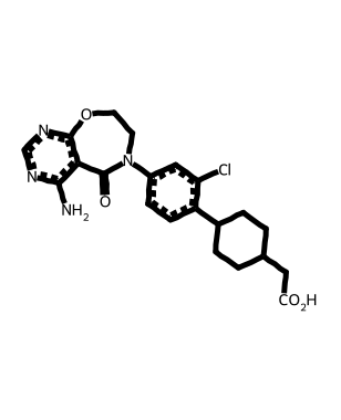 Nc1ncnc2c1C(=O)N(c1ccc(C3CCC(CC(=O)O)CC3)c(Cl)c1)CCO2